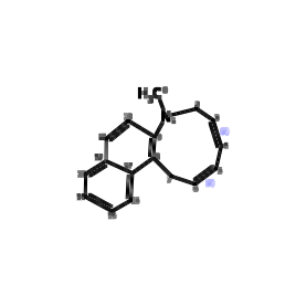 CN1C/C=C\C=C/Cc2c1ccc1ccccc21